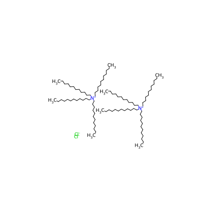 CCCCCCCCCCCC[N+](CCCCCCCCCCCC)(CCCCCCCCCCCC)CCCCCCCCCCCC.CCCCCCCCCCCC[N+](CCCCCCCCCCCC)(CCCCCCCCCCCC)CCCCCCCCCCCC.[Cl-].[Cl-]